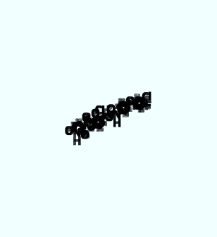 COc1c(COC(=O)Nc2ccc(Oc3ccc(F)c(Cl)c3)cc2)ccc2c1C(=O)N(C1CCC(=O)NC1=O)C2